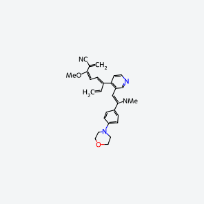 C=C/C(=C\C=C(\OC)C(=C)C#N)c1ccncc1/C=C(\NC)c1ccc(N2CCOCC2)cc1